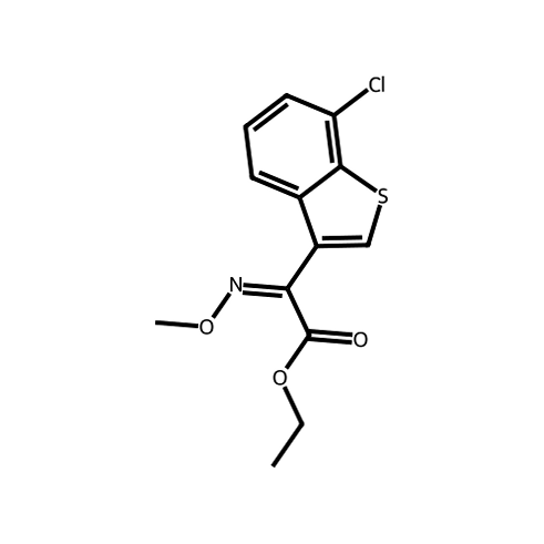 CCOC(=O)C(=NOC)c1csc2c(Cl)cccc12